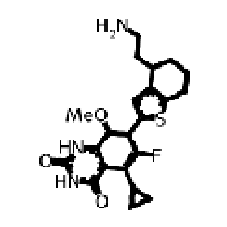 COC1c2[nH]c(=O)[nH]c(=O)c2C(C2CC2)=C(F)C1c1cc2c(s1)CCCC2CCN